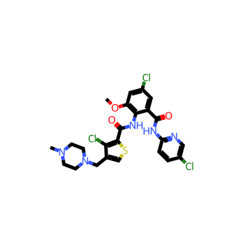 COc1cc(Cl)cc(C(=O)Nc2ccc(Cl)cn2)c1NC(=O)c1scc(CN2CCN(C)CC2)c1Cl